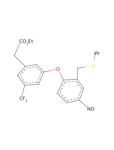 CCOC(=O)Cc1cc(Oc2ccc(N=O)cc2CSC(C)C)cc(C(F)(F)F)c1